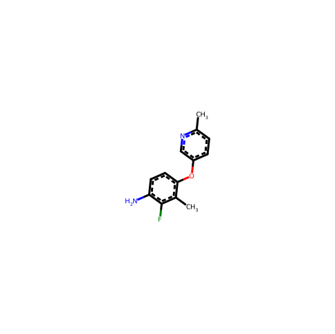 Cc1ccc(Oc2ccc(N)c(F)c2C)cn1